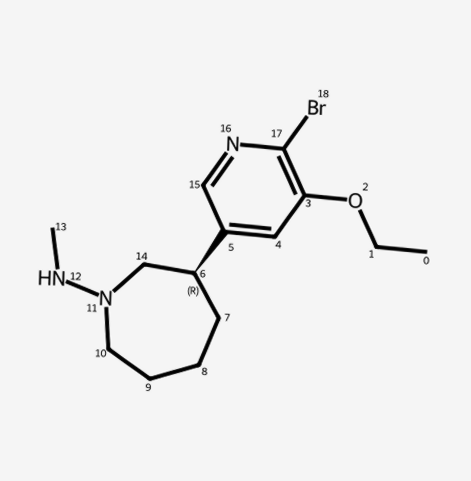 CCOc1cc([C@H]2CCCCN(NC)C2)cnc1Br